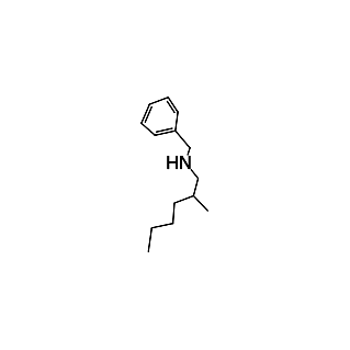 CCCCC(C)CNCc1ccccc1